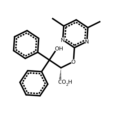 Cc1cc(C)nc(O[C@H](C(=O)O)C(O)(c2ccccc2)c2ccccc2)n1